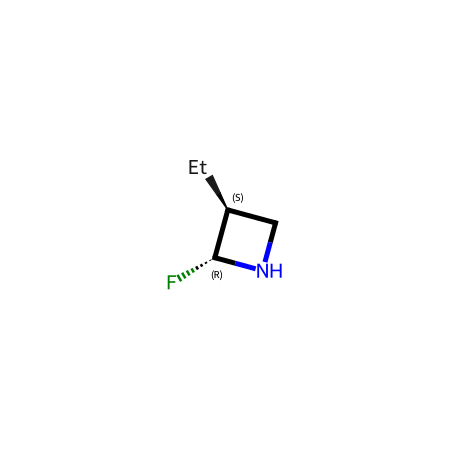 CC[C@H]1CN[C@@H]1F